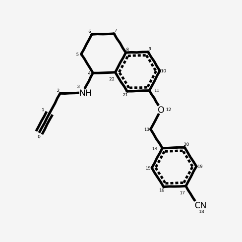 C#CCNC1CCCc2ccc(OCc3ccc(C#N)cc3)cc21